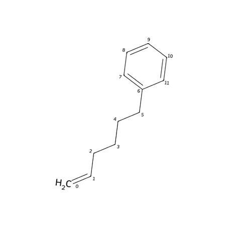 C=CCCCCc1ccccc1